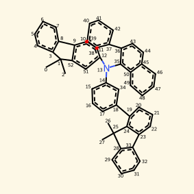 CC1(C)c2ccccc2-c2ccc(N(c3cccc(-c4cccc5c4C(C)(C)c4ccccc4-5)c3)c3c(-c4ccccc4)ccc4ccccc34)cc21